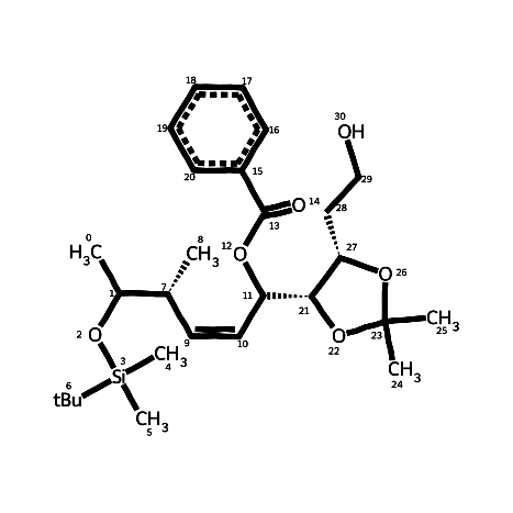 CC(O[Si](C)(C)C(C)(C)C)[C@H](C)/C=C\C(OC(=O)c1ccccc1)[C@H]1OC(C)(C)O[C@H]1CCO